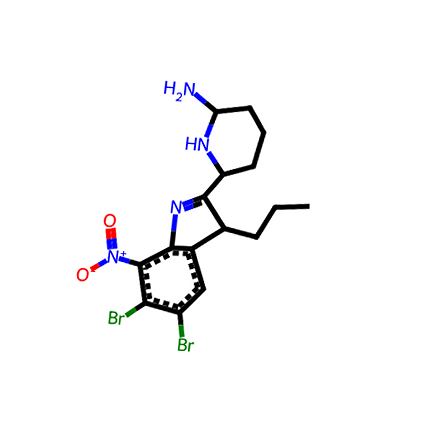 CCCC1C(C2CCCC(N)N2)=Nc2c1cc(Br)c(Br)c2[N+](=O)[O-]